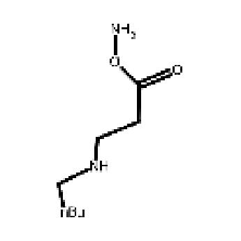 CCCCCNCCC(=O)ON